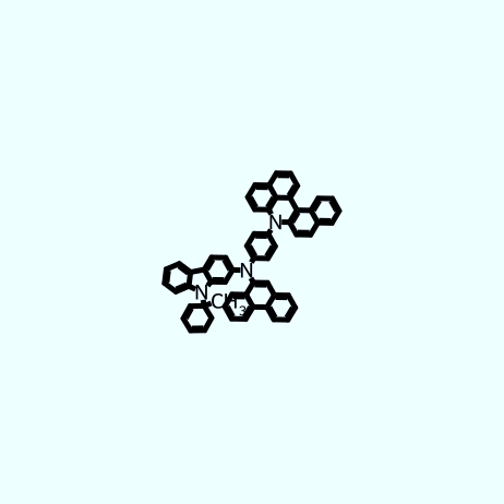 CC1(n2c3ccccc3c3ccc(N(c4ccc(N5c6ccc7ccccc7c6-c6cccc7cccc5c67)cc4)c4cc5ccccc5c5ccccc45)cc32)C=CC=CC1